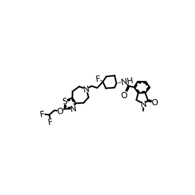 CN1Cc2c(C(=O)N[C@H]3CC[C@](F)(CCN4CCc5nc(OCC(F)F)sc5CC4)CC3)cccc2C1=O